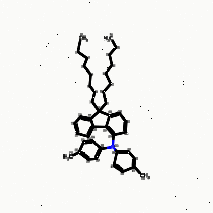 CCCCCCCCC1(CCCCCCCC)c2ccccc2-c2c(N(c3ccc(C)cc3)c3ccc(C)cc3)cccc21